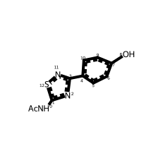 CC(=O)Nc1nc(-c2ccc(O)cc2)ns1